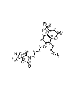 CCCc1c(OCCCCN2C(=O)OC(C)(C)C2=O)ccc2c(C(F)(F)F)cc(=O)oc12